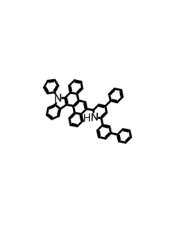 C1=C(c2ccccc2)C=C(c2cccc(-c3ccccc3)c2)NC1c1cc2c3ccccc3c3c(c4ccccc4n3-c3ccccc3)c2c2ccccc12